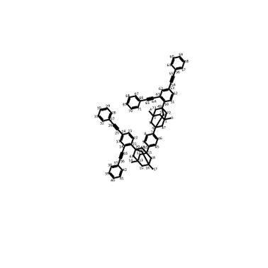 CC12CC3(C)CC(c4ccc(C56CC7(C)CC(C)(C5)CC(c5ccc(C#Cc8ccccc8)cc5C#Cc5ccccc5)(C7)C6)cc4)(C1)CC(c1ccc(C#Cc4ccccc4)cc1C#Cc1ccccc1)(C2)C3